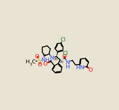 CS(=O)(=O)N[C@H]1CCCCC1N1C(=O)c2ccccc2[C@@H](C(=O)NCCc2cccc(=O)[nH]2)[C@@H]1c1ccc(Cl)cc1Cl